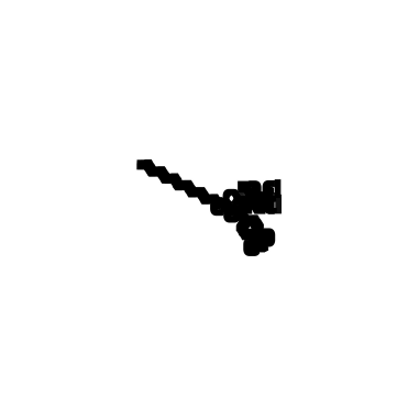 CCCCCCCCCCCCOC(=O)OC(c1ccc(S(C)(=O)=O)cc1)C(CF)NC(=O)C(Cl)Cl